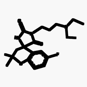 CCN(CC)CCCN1C(=O)NC2(CC(C)(C)Oc3ccc(F)cc32)C1=O